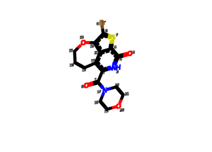 O=C(c1[nH]c(=O)c2sc(Br)c3c2c1CCCO3)N1CCOCC1